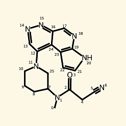 CN(C(=O)CC#N)C1CCCN(c2cnnc3cnc4[nH]ccc4c23)C1